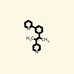 C/C(=C(/C)c1cccc(-c2ccccn2)c1)c1ccncc1